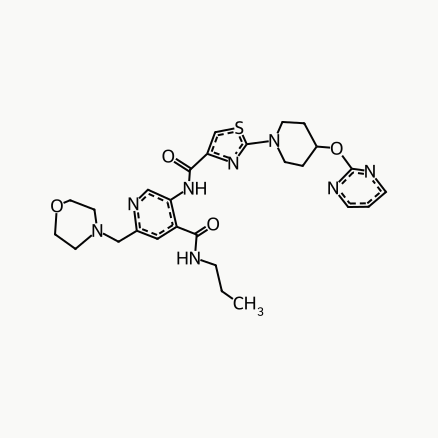 CCCNC(=O)c1cc(CN2CCOCC2)ncc1NC(=O)c1csc(N2CCC(Oc3ncccn3)CC2)n1